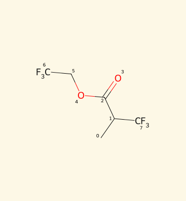 CC(C(=O)OCC(F)(F)F)C(F)(F)F